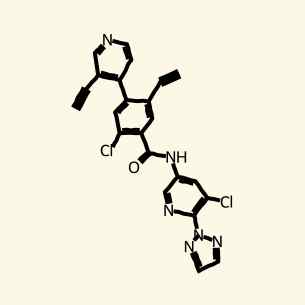 C#Cc1cnccc1-c1cc(Cl)c(C(=O)Nc2cnc(-n3nccn3)c(Cl)c2)cc1C#C